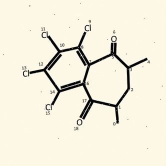 CC1CC(C)C(=O)c2c(Cl)c(Cl)c(Cl)c(Cl)c2C1=O